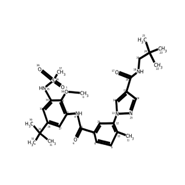 COc1c(NC(=O)c2ccc(C)c(-n3cc(C(=O)NCC(C)(C)C)cn3)c2)cc(C(C)(C)C)cc1NS(C)(=O)=O